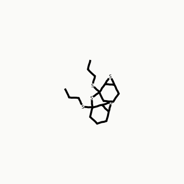 CCCSC1(SC2(SCCC)CCCC3SC32)CCCC2SC21